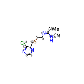 CN/C(=N/CCSCc1nccnc1Cl)NC#N